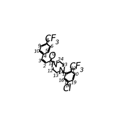 O=C(/C=C\c1ccc(C(F)(F)F)cc1)N1CCN(c2cc(Cl)ccc2C(F)(F)F)CC1